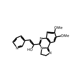 COc1cc2c(cc1OC)C1=NCCN1C(C(O)=Cc1cccnc1)=N2